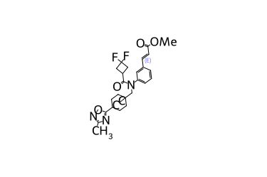 COC(=O)/C=C/c1cccc(N(CC23CCC(c4nc(C)no4)(CC2)CC3)C(=O)C2CC(F)(F)C2)c1